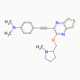 CN(C)c1ccc(C#Cc2nc3cscc3nc2OCC2CCCN2C)cc1